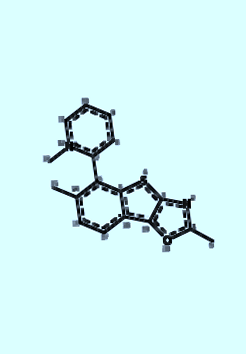 Cc1nc2sc3c(-c4cccc[n+]4C)c(C)ccc3c2o1